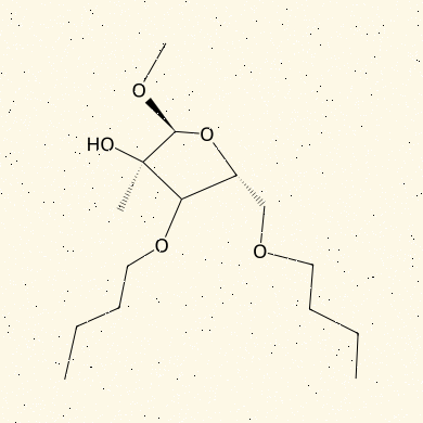 CCCCOC[C@H]1O[C@H](OC)[C@](C)(O)C1OCCCC